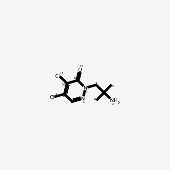 CC(C)(N)Cn1ncc(Cl)c(Cl)c1=O